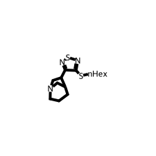 CCCCCCSc1nsnc1C1CN2CCCC1C2